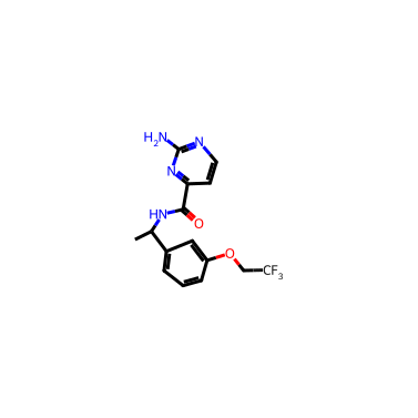 CC(NC(=O)c1ccnc(N)n1)c1cccc(OCC(F)(F)F)c1